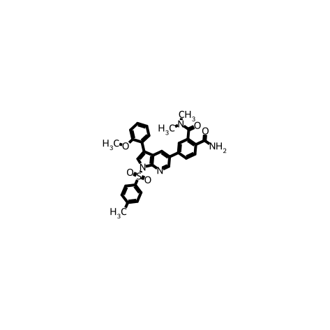 COc1ccccc1-c1cn(S(=O)(=O)c2ccc(C)cc2)c2ncc(-c3ccc(C(N)=O)c(C(=O)N(C)C)c3)cc12